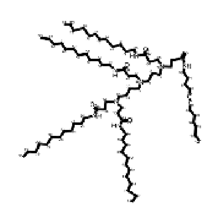 C=C(CCN(CCCN(CCCCN(CCC(=O)NCCCCCCCCCCCC)CCC(=O)NCCCCCCCCCCCC)CCC(=O)NCCCCCCCCCCCC)CCC(=O)NCCCCCCCCCCCC)NCCCCCCCCCCCC